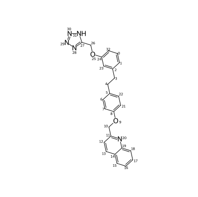 c1cc(CCc2ccc(OCc3ccc4ccccc4n3)cc2)cc(OCc2nnn[nH]2)c1